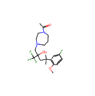 COc1ccc(F)cc1C(C)(C)CC(O)(CN1CCCN(C(C)=O)CC1)C(F)(F)F